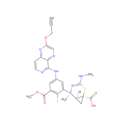 C#CCOc1cnc2c(Nc3cc(C(=O)OC)c(F)c([C@@]4(C)N=C(NC)S[C@@]5(C(=O)O)C[C@H]54)c3)nccc2n1